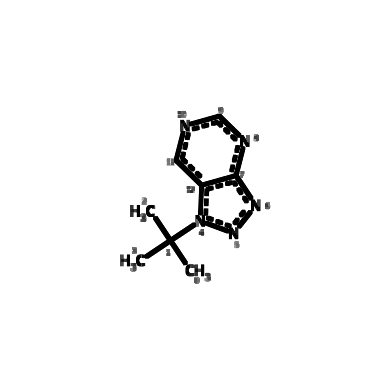 CC(C)(C)n1nnc2ncncc21